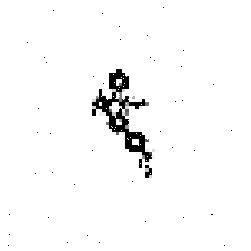 CCOC(=O)c1ccc(-c2ccc(-c3onc(C)c3N(C(=O)OCC)c3ccccc3)cc2)cc1